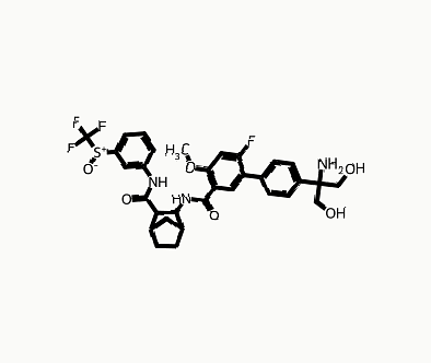 COc1cc(F)c(-c2ccc(C(N)(CO)CO)cc2)cc1C(=O)NC1C2CCC(C2)C1C(=O)Nc1cccc([S+]([O-])C(F)(F)F)c1